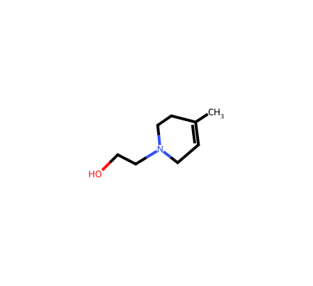 CC1=CCN(CCO)CC1